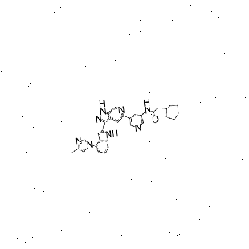 Cc1cn(-c2cccc3[nH]c(-c4n[nH]c5cnc(-c6cncc(NC(=O)CC7CCCCC7)c6)cc45)cc23)cn1